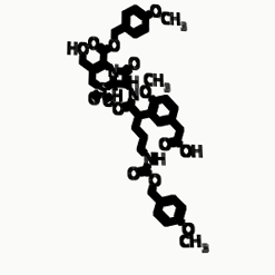 COc1ccc(COC(=O)NCCCC(C(=O)N[C@H]2C(=O)N3C(C(=O)OCc4ccc(OC)cc4)=C(CO)CS(=O)(=O)[C@@H]23)c2cc(CC(=O)O)ccc2OC)cc1